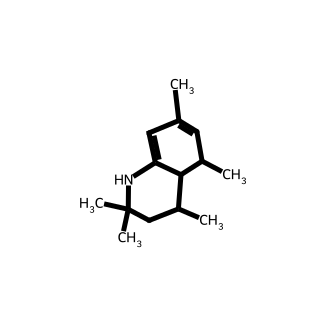 CC1=CC(C)C2C(=C1)NC(C)(C)CC2C